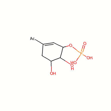 CC(=O)C1=CC(OP(=O)(O)O)C(O)C(O)C1